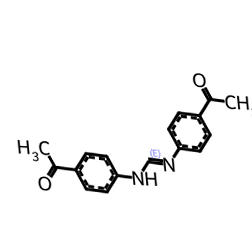 CC(=O)c1ccc(/N=C/Nc2ccc(C(C)=O)cc2)cc1